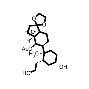 CC(=O)O[C@@H]1[C@H]([C@@]2(C)CC[C@H](O)C[C@@H]2CCO)CC[C@@]2(C)[C@@H]1CCC21OCCO1